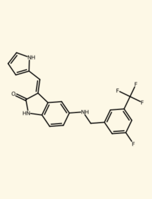 O=C1Nc2ccc(NCc3cc(F)cc(C(F)(F)F)c3)cc2/C1=C/c1ccc[nH]1